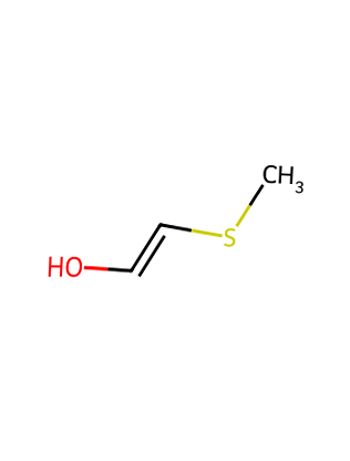 CSC=CO